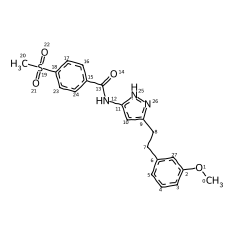 COc1cccc(CCc2cc(NC(=O)c3ccc(S(C)(=O)=O)cc3)[nH]n2)c1